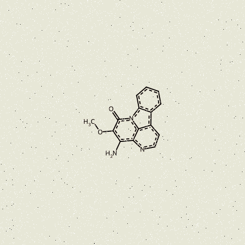 COc1c(N)c2nccc3c4ccccc4n(c1=O)c23